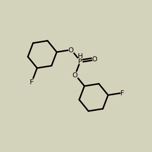 O=[PH](OC1CCCC(F)C1)OC1CCCC(F)C1